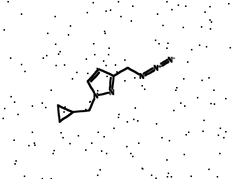 [N-]=[N+]=NCc1ccn(CC2CC2)n1